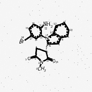 CN1C(=O)C[C@H](c2cc3ccccc3n2-c2cc(Br)ccc2N)C1=O